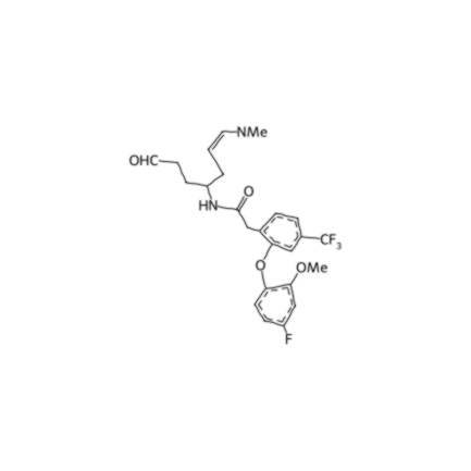 CN/C=C\CC(CCC=O)NC(=O)Cc1ccc(C(F)(F)F)cc1Oc1ccc(F)cc1OC